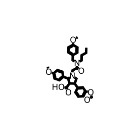 CCCCN(Cc1ccc(OC)cc1)C(=O)CN1CC(c2ccc3c(c2)OCO3)C(C(=O)O)C1c1ccc(OC)cc1